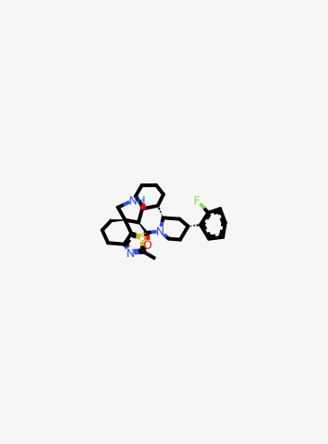 Cc1nc2c(s1)[C@]1(CCC2)CNC[C@H]1C(=O)N1CC[C@@H](c2ccccc2F)C[C@H]1C1CCCCC1